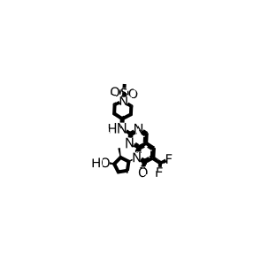 C[C@@H]1[C@H](O)CC[C@H]1n1c(=O)c(C(F)F)cc2cnc(NC3CCN(S(C)(=O)=O)CC3)nc21